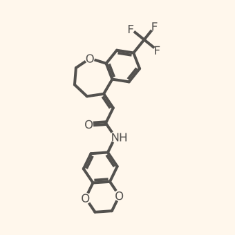 O=C(C=C1CCCOc2cc(C(F)(F)F)ccc21)Nc1ccc2c(c1)OCCO2